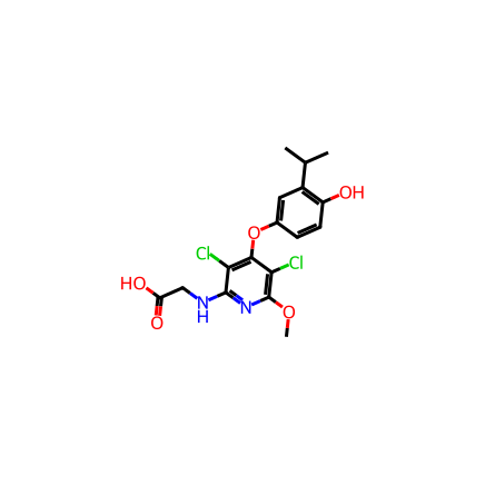 COc1nc(NCC(=O)O)c(Cl)c(Oc2ccc(O)c(C(C)C)c2)c1Cl